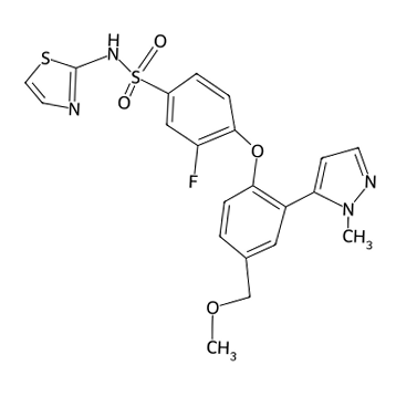 COCc1ccc(Oc2ccc(S(=O)(=O)Nc3nccs3)cc2F)c(-c2ccnn2C)c1